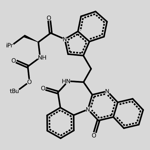 CC(C)C[C@H](NC(=O)OC(C)(C)C)C(=O)n1cc(CC2NC(=O)c3ccccc3-n3c2nc2ccccc2c3=O)c2ccccc21